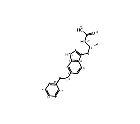 C[C@H](Cc1c[nH]c2cc(OCc3ccccc3)ccc12)NC(=O)O